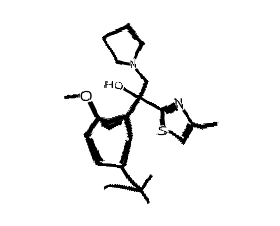 COc1ccc(C(C)(C)C)cc1C(O)(CN1CCCC1)c1nc(C)cs1